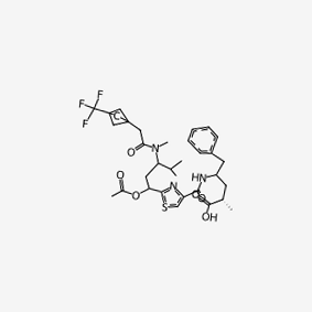 CC(=O)OC(CC(C(C)C)N(C)C(=O)CC12CC(C(F)(F)F)(C1)C2)c1nc(C(=O)NC(Cc2ccccc2)C[C@H](C)C(=O)O)cs1